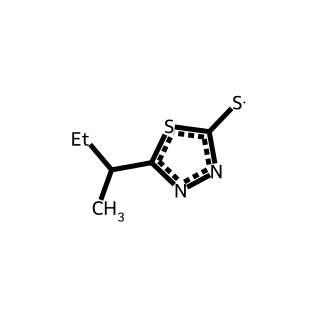 CCC(C)c1nnc([S])s1